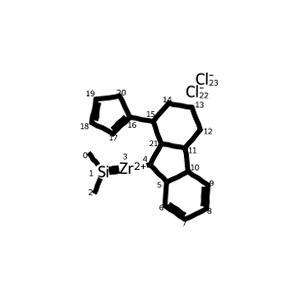 C[Si](C)=[Zr+2][CH]1C2C=CC=CC2C2CCCC(C3=CC=CC3)C21.[Cl-].[Cl-]